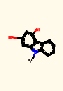 Cn1c2ccccc2c2c(O)cc(O)cc21